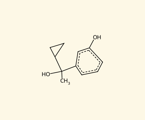 CC(O)(c1cccc(O)c1)C1CC1